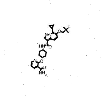 CC(C)(F)COc1ccc2c(C(=O)N[C@H]3CC[C@H](Oc4ncccc4C(N)=O)CC3)cnn2c1C1CC1